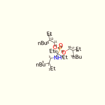 CCCCC(CC)CNC(CC)(CC)P(=O)(OCC(CC)CCCC)OCC(CC)CCCC